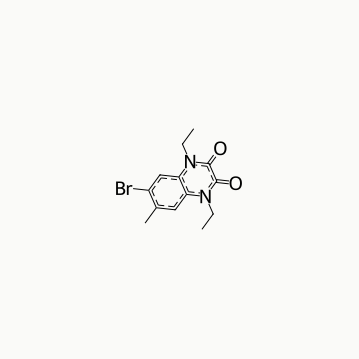 CCn1c(=O)c(=O)n(CC)c2cc(Br)c(C)cc21